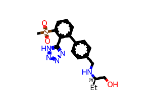 CC[C@H](CO)NCc1ccc(-c2cccc(S(C)(=O)=O)c2-c2nnn[nH]2)cc1